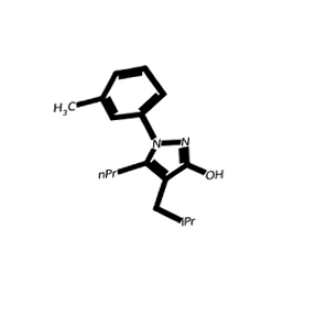 CCCc1c(CC(C)C)c(O)nn1-c1cccc(C)c1